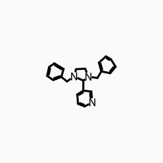 c1ccc(CN2CCN(Cc3ccccc3)C2c2cccnc2)cc1